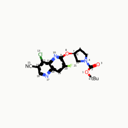 CC(C)(C)OC(=O)N1CC[C@H](Oc2nc3c(Cl)c(C#N)cnc3cc2F)C1